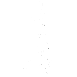 Cc1ccc(C(=O)N2CC3CC(C2)CN(c2nc4cc(Cl)ccc4o2)C3)c(-n2nccn2)c1